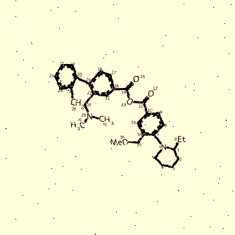 CCC1CCCCN1c1ccc(C(=O)OC(=O)c2ccc(-c3ccccc3C)c(CN(C)C)c2)cc1COC